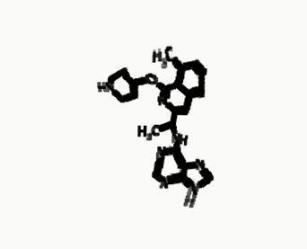 Cc1cccc2cc(C(C)Nc3ncnc4[nH]cnc34)nc(OC3CCNCC3)c12